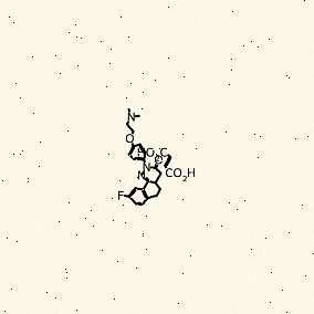 CN(C)CCOc1ccc(N2N=C3c4cc(F)ccc4CCC3CC2=O)cc1.O=C(O)C=CC(=O)O